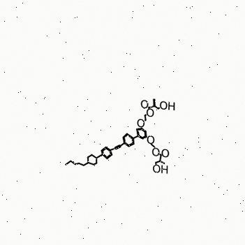 C=C(CO)C(=O)OCCOc1cc(OCCOC(=O)C(C)CO)cc(-c2ccc(C#Cc3ccc(C4CCC(CCCCC)CC4)cc3)cc2)c1